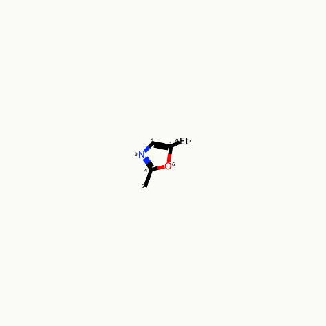 C[CH]c1cnc(C)o1